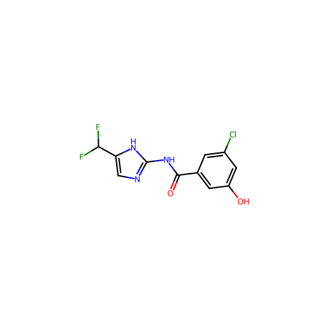 O=C(Nc1ncc(C(F)F)[nH]1)c1cc(O)cc(Cl)c1